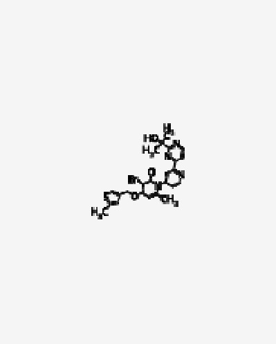 Cc1cc(COc2cc(C)n(-c3ccnc(-c4ccnc(C(C)(C)O)n4)c3)c(=O)c2Br)cs1